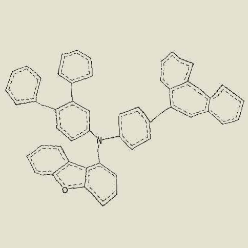 c1ccc(-c2ccc(N(c3ccc(-c4cc5ccccc5c5ccccc45)cc3)c3cccc4oc5ccccc5c34)cc2-c2ccccc2)cc1